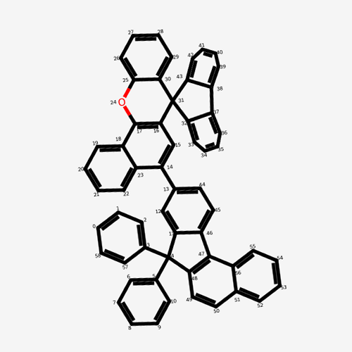 c1ccc(C2(c3ccccc3)c3cc(-c4cc5c(c6ccccc46)Oc4ccccc4C54c5ccccc5-c5ccccc54)ccc3-c3c2ccc2ccccc32)cc1